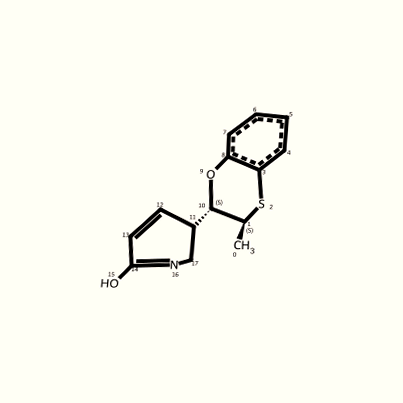 C[C@@H]1Sc2ccccc2O[C@H]1C1C=CC(O)=NC1